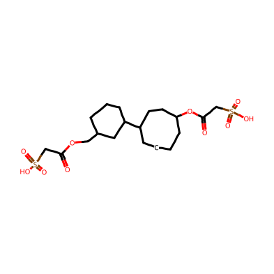 O=C(CS(=O)(=O)O)OCC1CCCC(C2CCCCC(OC(=O)CS(=O)(=O)O)CC2)C1